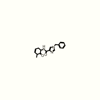 CC1C=CCC(NC(=O)c2cn(Cc3ccccc3)cn2)C1=O